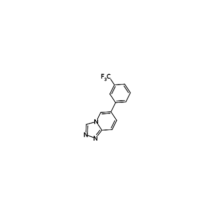 FC(F)(F)c1cccc(-c2ccc3nncn3c2)c1